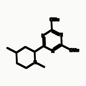 COc1nc(OC)nc(C2CC(C)CCN2C)n1